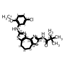 COc1ccc(Cl)cc1Nc1nc2c(s1)CCCc1sc(NC(=O)C(C)(C)C)nc1-2